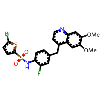 COc1cc2nccc(Cc3ccc(NS(=O)(=O)c4ccc(Br)s4)c(F)c3)c2cc1OC